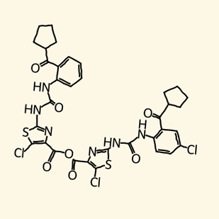 O=C(Nc1nc(C(=O)OC(=O)c2nc(NC(=O)Nc3ccc(Cl)cc3C(=O)C3CCCC3)sc2Cl)c(Cl)s1)Nc1ccccc1C(=O)C1CCCC1